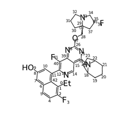 CCc1c(F)ccc2cc(O)cc(-c3ncc4c(N5C6CCCC5CC6)nc(OC[C@@]56CCCN5C[C@H](F)C6)nc4c3F)c12